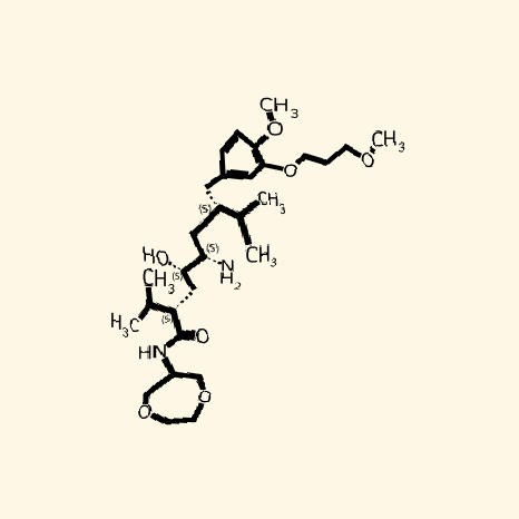 COCCCOc1cc(C[C@@H](C[C@H](N)[C@@H](O)C[C@H](C(=O)NC2COCCOC2)C(C)C)C(C)C)ccc1OC